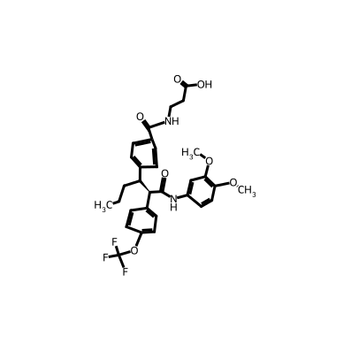 CCCC(c1ccc(C(=O)NCCC(=O)O)cc1)[C@@H](C(=O)Nc1ccc(OC)c(OC)c1)c1ccc(OC(F)(F)F)cc1